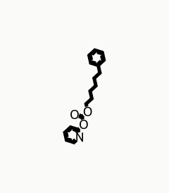 O=C(OCCCCCCc1ccccc1)Oc1ccccn1